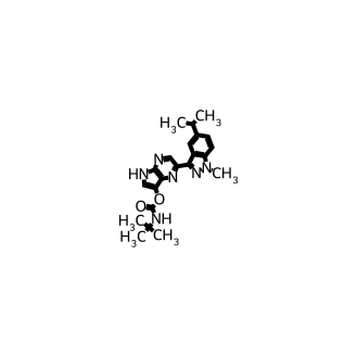 CC(C)c1ccc2c(c1)c(-c1cnc3[nH]cc(OC(=O)NC(C)(C)C)c3n1)nn2C